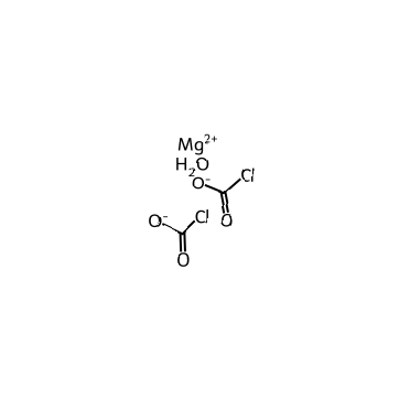 O.O=C([O-])Cl.O=C([O-])Cl.[Mg+2]